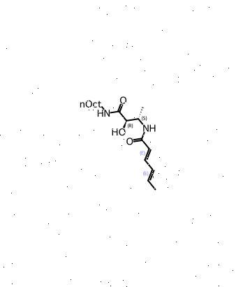 C/C=C/C=C/C(=O)N[C@@H](C)[C@@H](O)C(=O)NCCCCCCCC